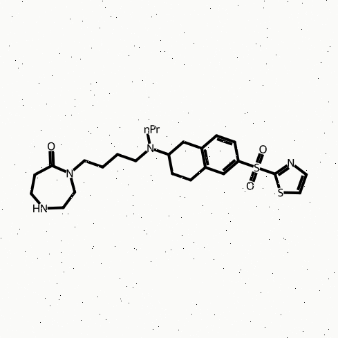 CCCN(CCCCN1CCNCCC1=O)C1CCc2cc(S(=O)(=O)c3nccs3)ccc2C1